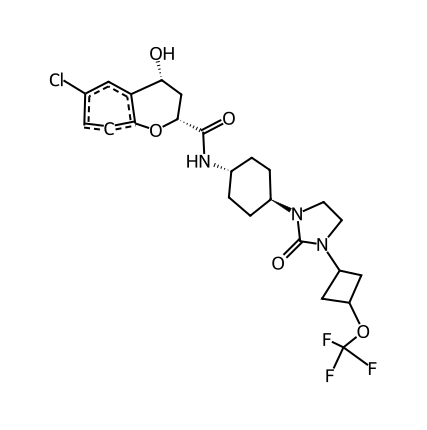 O=C(N[C@H]1CC[C@H](N2CCN(C3CC(OC(F)(F)F)C3)C2=O)CC1)[C@H]1C[C@@H](O)c2cc(Cl)ccc2O1